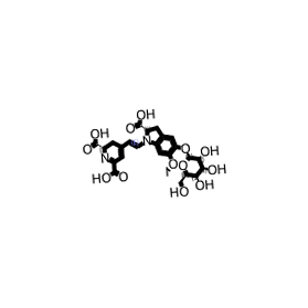 O=C(O)C1=N[C@H](C(=O)O)CC(/C=C/N2c3cc(OI)c(O[C@@H]4O[C@H](CO)[C@@H](O)[C@H](O)[C@H]4O)cc3C[C@H]2C(=O)O)=C1